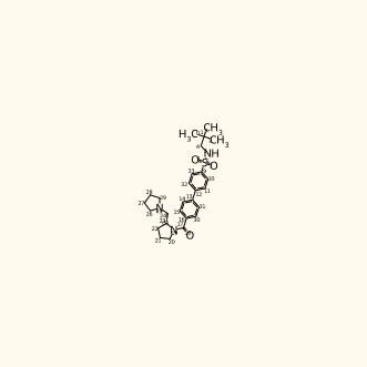 CC(C)(C)CNS(=O)(=O)c1ccc(-c2ccc(C(=O)N3CCC[C@H]3CN3CCCC3)cc2)cc1